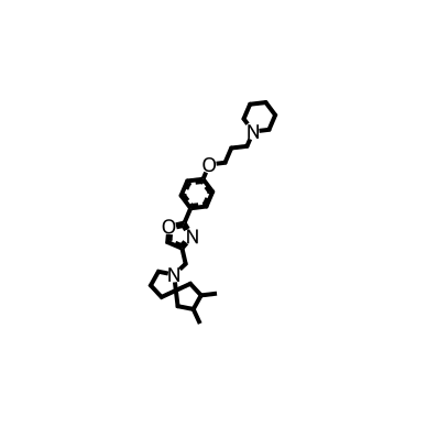 CC1CC2(CCCN2Cc2coc(-c3ccc(OCCCN4CCCCC4)cc3)n2)CC1C